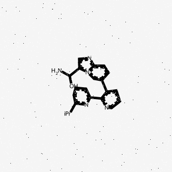 CC(C)c1cccc(-c2ncccc2-c2ccc3ncc(C(N)O)n3c2)n1